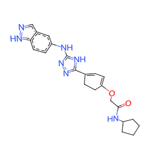 O=C(COC1=CC=C(c2nnc(Nc3ccc4[nH]ncc4c3)[nH]2)CC1)NC1CCCC1